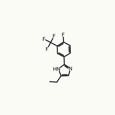 CCc1cnc(-c2ccc(F)c(C(F)(F)F)c2)[nH]1